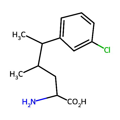 CC(CC(N)C(=O)O)C(C)c1cccc(Cl)c1